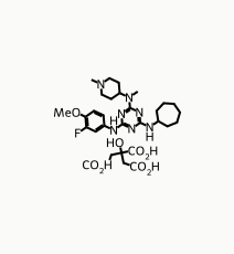 COc1ccc(Nc2nc(NC3CCCCCC3)nc(N(C)C3CCN(C)CC3)n2)cc1F.O=C(O)CC(O)(CC(=O)O)C(=O)O